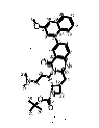 COc1cc(-c2ccc3nc(CC4CN(C(=O)OC(C)(C)C)C4)n(CCCN(C)C)c(=O)c3c2)c2ccccc2c1